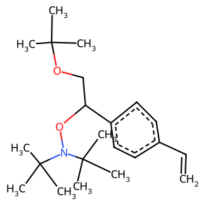 C=Cc1ccc(C(COC(C)(C)C)ON(C(C)(C)C)C(C)(C)C)cc1